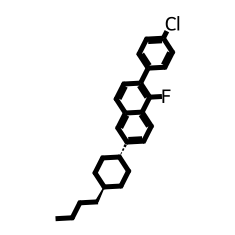 CCCC[C@H]1CC[C@H](c2ccc3c(F)c(-c4ccc(Cl)cc4)ccc3c2)CC1